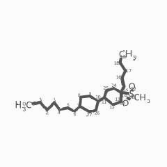 CCCCCCCC1CCC(C2CCC(CCCCC)(S(C)(=O)=O)CC2)CC1